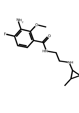 COc1c(C(=O)NCCNC2CC2C)ccc(F)c1N